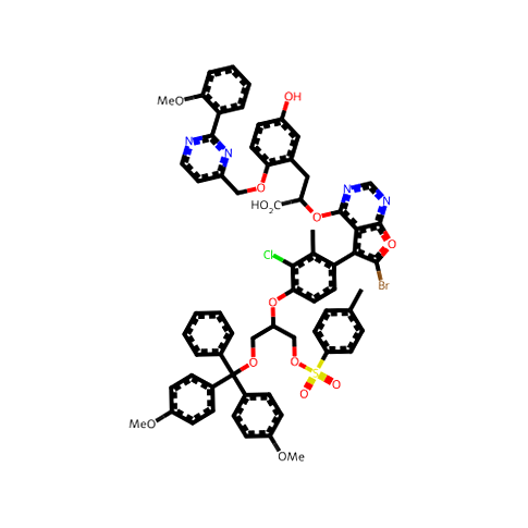 COc1ccc(C(OCC(COS(=O)(=O)c2ccc(C)cc2)Oc2ccc(-c3c(Br)oc4ncnc(OC(Cc5cc(O)ccc5OCc5ccnc(-c6ccccc6OC)n5)C(=O)O)c34)c(C)c2Cl)(c2ccccc2)c2ccc(OC)cc2)cc1